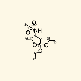 CCO[Si](CCNS(C)(=O)=O)(OCC)OCC